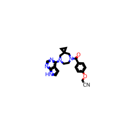 N#CCOc1ccc(C(=O)N2CCN(c3ncnc4[nH]ccc34)CC3(CC3)C2)cc1